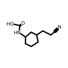 N#CCCC1CCCC(NC(=O)O)C1